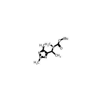 Cc1nn(C)nc1C(C)N(C)C(=O)OC(C)(C)C